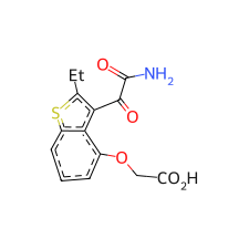 CCc1sc2cccc(OCC(=O)O)c2c1C(=O)C(N)=O